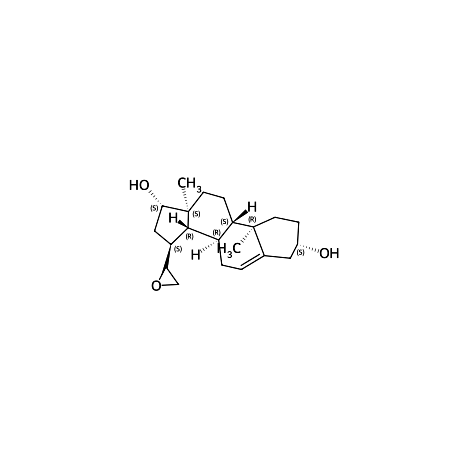 C[C@]12CC[C@H]3[C@@H](CC=C4C[C@@H](O)CC[C@@]43C)[C@@H]1[C@@H](C1CO1)C[C@@H]2O